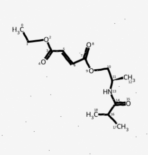 CCOC(=O)/C=C/C(=O)OC[C@@H](C)NC(=O)C(C)C